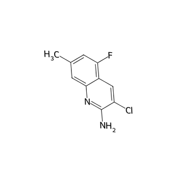 Cc1cc(F)c2cc(Cl)c(N)nc2c1